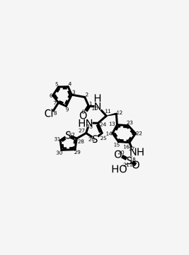 O=C(Cc1cccc(Cl)c1)N[C@@H](Cc1ccc(NS(=O)(=O)O)cc1)C1=CSC(c2cccs2)N1